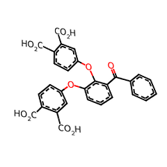 O=C(O)c1ccc(Oc2cccc(C(=O)c3ccccc3)c2Oc2ccc(C(=O)O)c(C(=O)O)c2)cc1C(=O)O